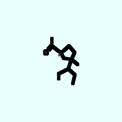 CCC(CC)C1(C)CCN(C(C)=O)C1